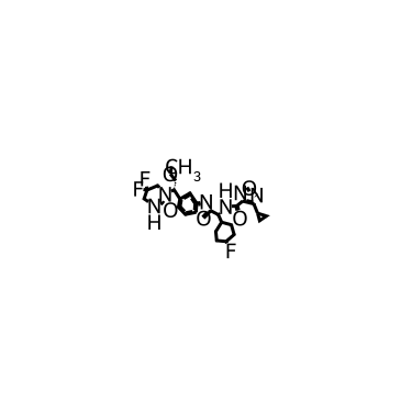 COC[C@H](c1ccc2oc([C@@H](NC(=O)c3nonc3C3CC3)C3CCC(F)CC3)nc2c1)N1CC(F)(F)CNC1=O